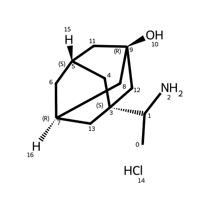 CC(N)[C@]12C[C@@H]3C[C@@H](C[C@](O)(C3)C1)C2.Cl